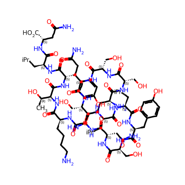 CC(C)C[C@H](NC(=O)[C@H](Cc1ccc(O)cc1)NC(=O)[C@@H](NC(=O)[C@H](CCCCN)NC(=O)CNC(=O)[C@H](CC(N)=O)NC(=O)[C@H](CO)NC(=O)[C@H](Cc1ccc(O)cc1)NC(=O)[C@H](CC(C)C)NC(=O)[C@H](CC(C)C)NC(=O)[C@H](CO)NC(=O)[C@H](CCC(N)=O)NC(=O)[C@H](CO)NC(=O)[C@H](CO)NC(=O)[C@@H](N)CCCCN)[C@@H](C)O)C(=O)N[C@@H](CC(N)=O)C(=O)O